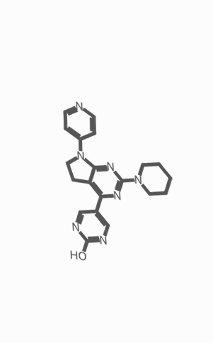 Oc1ncc(-c2nc(N3CCCCC3)nc3c2CCN3c2ccncc2)cn1